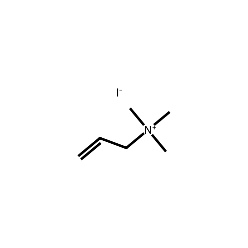 C=CC[N+](C)(C)C.[I-]